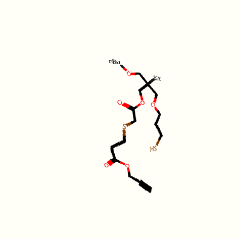 C#CCOC(=O)CCSCC(=O)OCC(CC)(COCCCC)COCCCS